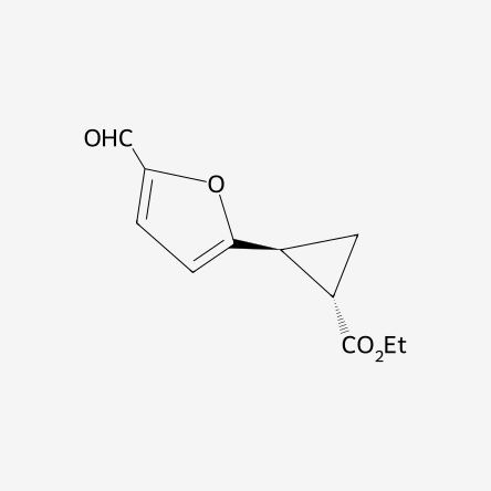 CCOC(=O)[C@H]1C[C@@H]1c1ccc(C=O)o1